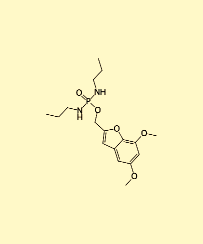 CCCNP(=O)(NCCC)OCc1cc2cc(OC)cc(OC)c2o1